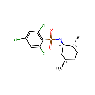 CC(C)[C@@H]1CC[C@@H](C)C[C@H]1NS(=O)(=O)c1c(Cl)cc(Cl)cc1Cl